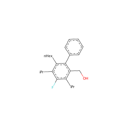 CCCCCCc1c(-c2ccccc2)c(CO)c(C(C)C)c(F)c1C(C)C